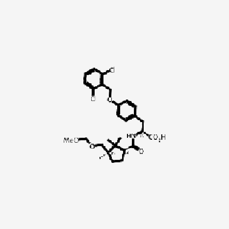 COCOC[C@]1(C)CC[C@H](C(=O)N[C@@H](Cc2ccc(OCc3c(Cl)cccc3Cl)cc2)C(=O)O)C1(C)C